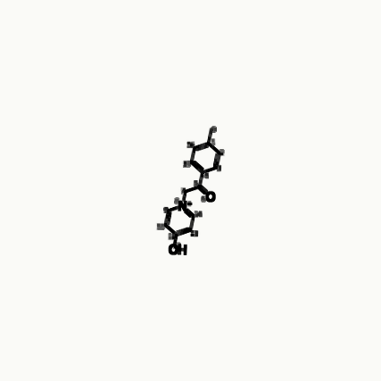 Cc1ccc(C(=O)C[n+]2ccc(O)cc2)cc1